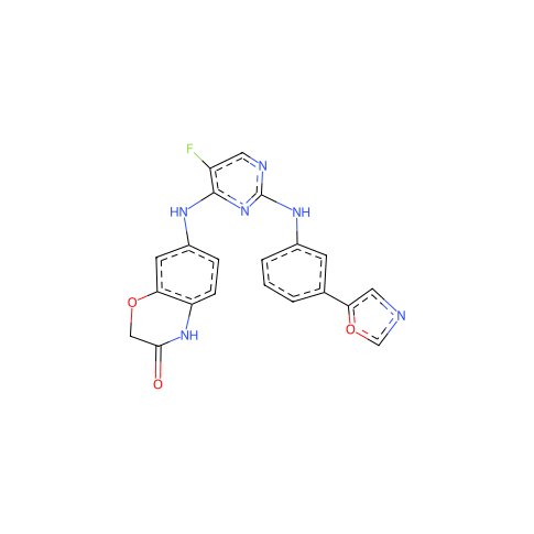 O=C1COc2cc(Nc3nc(Nc4cccc(-c5cnco5)c4)ncc3F)ccc2N1